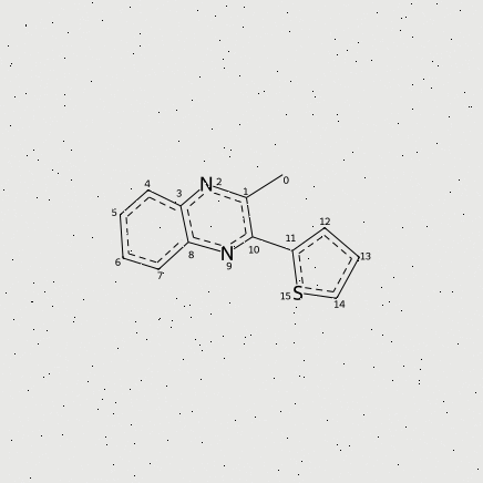 Cc1nc2ccccc2nc1-c1cccs1